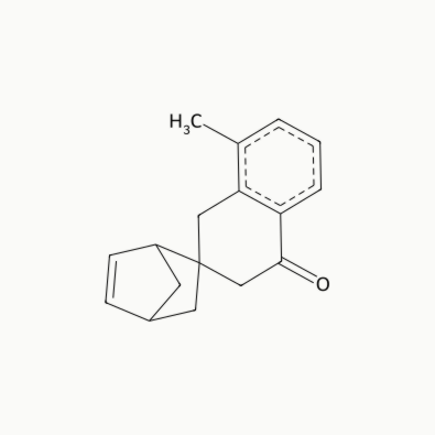 Cc1cccc2c1CC1(CC2=O)CC2C=CC1C2